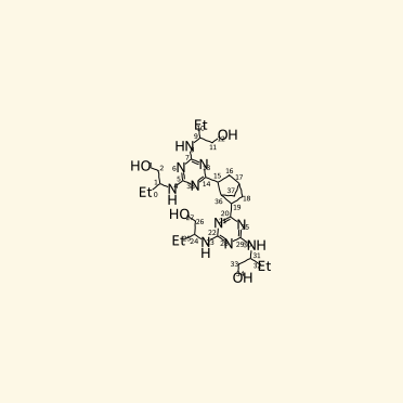 CCC(CO)Nc1nc(NC(CC)CO)nc(C2CC3CC(c4nc(NC(CC)CO)nc(NC(CC)CO)n4)C2C3)n1